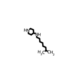 CC(C)CCCCCCNC1CCNCC1